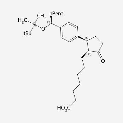 CCCCC[C@H](O[Si](C)(C)C(C)(C)C)c1ccc([C@H]2CCC(=O)[C@H]2CCCCCCC(=O)O)cc1